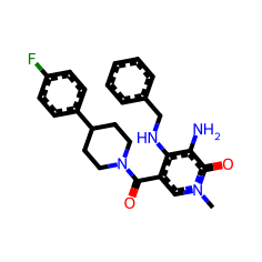 Cn1cc(C(=O)N2CCC(c3ccc(F)cc3)CC2)c(NCc2ccccc2)c(N)c1=O